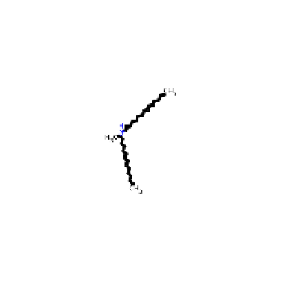 CCCCCCCCCCCCCCCCNC(C)CCCCCCCCCCCCCC